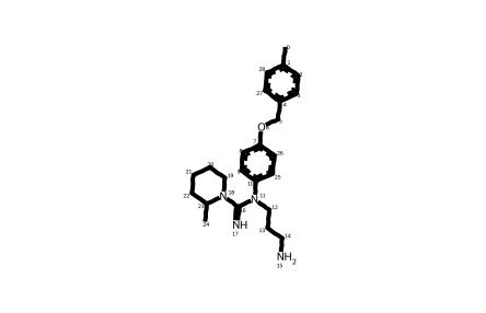 Cc1ccc(COc2ccc(N(CCCN)C(=N)N3CCCCC3C)cc2)cc1